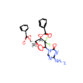 Nc1ncn(C2O[C@H](COC(=O)c3ccccc3)[C@@H](OC(=O)c3ccccc3)C2(F)F)c(=O)n1